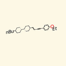 CCCC[C@H]1CC[C@H]([C@H]2CC[C@H](C=CC#Cc3ccc(OCC)cc3)CC2)CC1